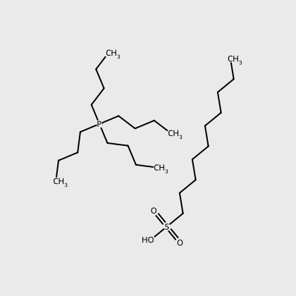 CCCCCCCCCCS(=O)(=O)O.CCCC[P](CCCC)(CCCC)CCCC